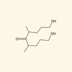 CC(CCCO)C(=O)C(C)CCCO